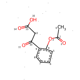 CC(=O)Oc1ccccc1C(=O)CC(=O)O